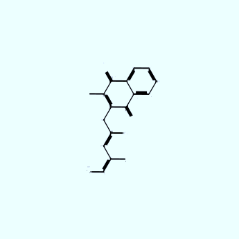 CC1=C(C/C(N)=C/C(C)=C\N)C(=O)c2ccccc2C1=O